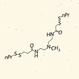 CCCSSCCC(=O)NCCN(C)CCNC(=O)CSSCCC